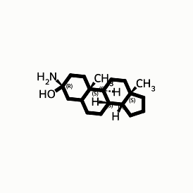 C[C@@]12CCC[C@@H]1[C@@H]1CCC3C[C@](N)(O)CC[C@]3(C)[C@H]1CC2